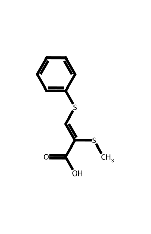 CS/C(=C\Sc1ccccc1)C(=O)O